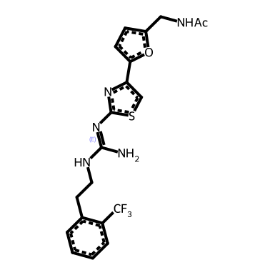 CC(=O)NCc1ccc(-c2csc(/N=C(\N)NCCc3ccccc3C(F)(F)F)n2)o1